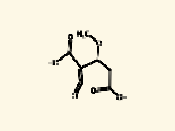 COC(CC(=O)O)C(=C=O)C(=O)O